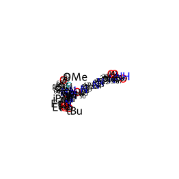 CC[Si](CC)(CC)OC1CC2CN(c3nc(OCC4(CN5CCC(CCN6CCN(c7ccc8c(c7)CN([C@H]7CCC(=O)NC7=O)C8=O)CC6)CC5)CC4)nc4c(F)c(-c5cc(OCOC)cc6cccc(C#C[Si](C(C)C)(C(C)C)C(C)C)c56)ncc34)CC1N2C(=O)OC(C)(C)C